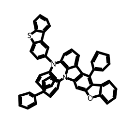 c1ccc(-c2ccc(-n3c4cc5oc6ccccc6c5c(-c5ccccc5)c4c4cccc(N(c5ccccc5)c5ccc6sc7ccccc7c6c5)c43)cc2)cc1